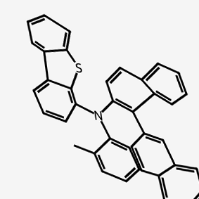 Cc1ccccc1N(c1ccc2ccccc2c1-c1ccc2ccccc2c1)c1cccc2c1sc1ccccc12